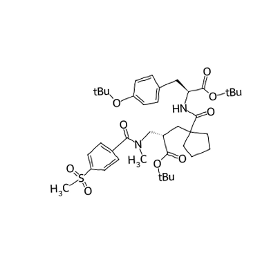 CN(C[C@H](CC1(C(=O)N[C@@H](Cc2ccc(OC(C)(C)C)cc2)C(=O)OC(C)(C)C)CCCC1)C(=O)OC(C)(C)C)C(=O)c1ccc(S(C)(=O)=O)cc1